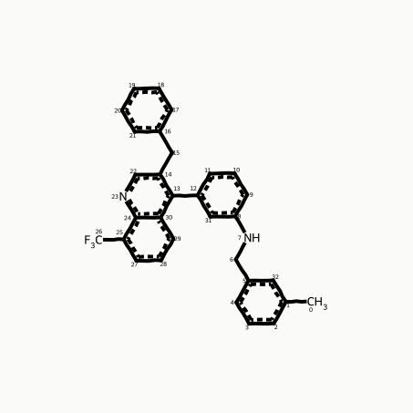 Cc1cccc(CNc2cccc(-c3c(Cc4ccccc4)cnc4c(C(F)(F)F)cccc34)c2)c1